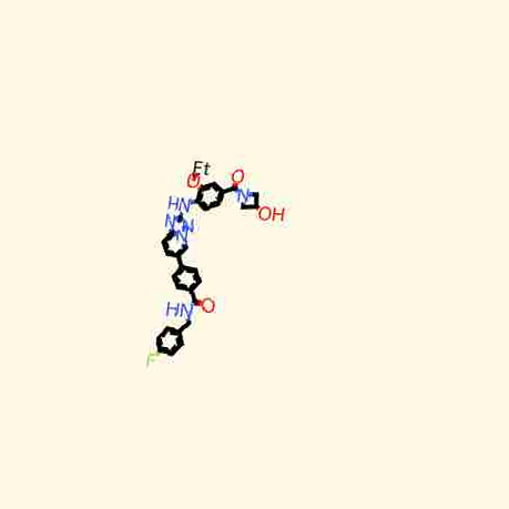 CCOc1cc(C(=O)N2CC(O)C2)ccc1Nc1nc2ccc(-c3ccc(C(=O)NCc4ccc(F)cc4)cc3)cn2n1